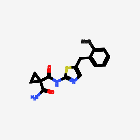 COc1ccccc1Cc1cnc(NC(=O)C2(C(N)=O)CC2)s1